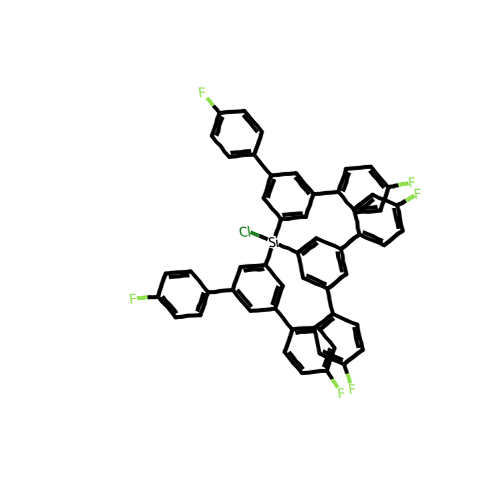 Fc1ccc(-c2cc(-c3ccc(F)cc3)cc([Si](Cl)(c3cc(-c4ccc(F)cc4)cc(-c4ccc(F)cc4)c3)c3cc(-c4ccc(F)cc4)cc(-c4ccc(F)cc4)c3)c2)cc1